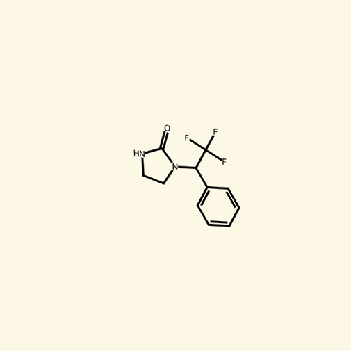 O=C1NCCN1C(c1ccccc1)C(F)(F)F